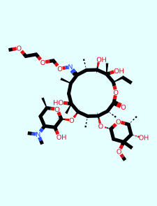 CC[C@H]1OC(=O)[C@H](C)[C@@H](O[C@H]2CC(C)(OC)[C@@H](O)[C@@H](C)O2)[C@H](C)[C@@H](O[C@@H]2O[C@H](C)CC(N(C)C)C2O)[C@](C)(O)C[C@@H](C)/C(=N\OCOCCOC)[C@H](C)[C@@H](O)[C@]1(C)O